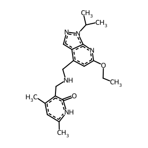 CCOc1cc(CNCc2c(C)cc(C)[nH]c2=O)c2cnn(C(C)C)c2n1